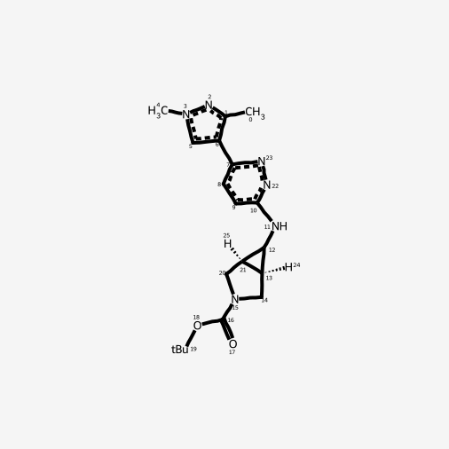 Cc1nn(C)cc1-c1ccc(NC2[C@H]3CN(C(=O)OC(C)(C)C)C[C@@H]23)nn1